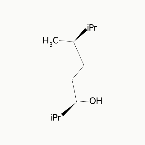 CC(C)[C@H](C)CC[C@@H](O)C(C)C